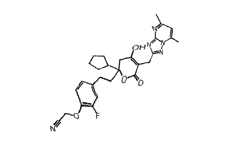 Cc1cc(C)n2nc(CC3=C(O)CC(CCc4ccc(OCC#N)c(F)c4)(C4CCCC4)OC3=O)nc2n1